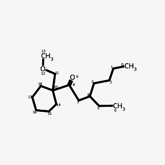 CCCCC(CC)CC(=O)C1(COC)CCCCC1